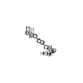 O=C(O)N1CCC[C@H]1c1nc2cc(-c3ccc4cc(-c5ccc6[nH]c([C@@H]7CCCN7)nc6c5)ccc4c3)ccc2[nH]1